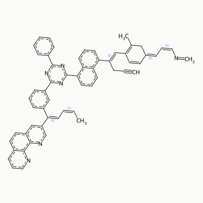 C#CC/C(=C\C1=C(C)C/C(=C\C=C/N=C)C=C1)c1cccc2c(-c3nc(-c4ccccc4)nc(-c4cccc(/C(=C\C=C/C)c5cnc6c(ccc7cccnc76)c5)c4)n3)cccc12